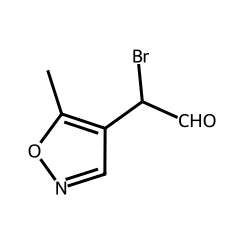 Cc1oncc1C(Br)C=O